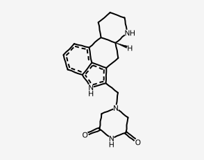 O=C1CN(Cc2[nH]c3cccc4c3c2C[C@H]2NCCCC42)CC(=O)N1